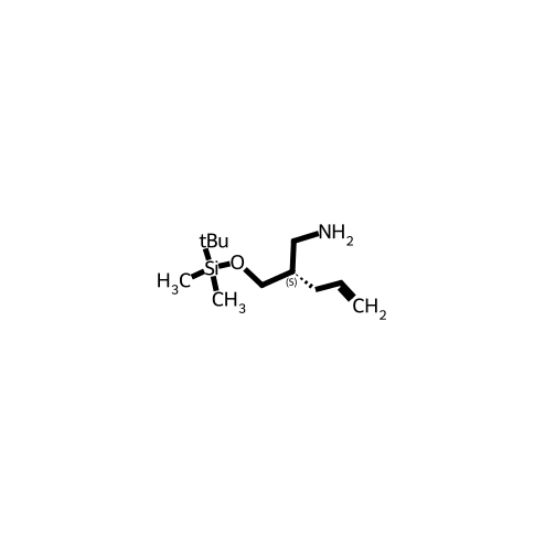 C=CC[C@@H](CN)CO[Si](C)(C)C(C)(C)C